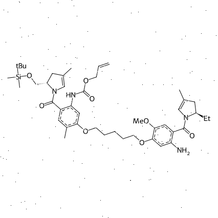 C=CCOC(=O)Nc1cc(OCCCCCOc2cc(N)c(C(=O)N3C=C(C)C[C@H]3CC)cc2OC)c(C)cc1C(=O)N1C=C(C)C[C@H]1CO[Si](C)(C)C(C)(C)C